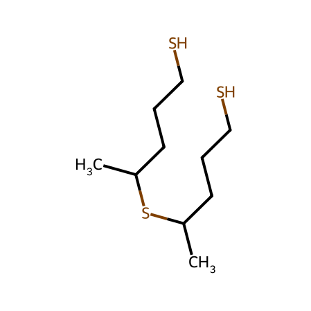 CC(CCCS)SC(C)CCCS